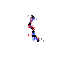 O=C(NC(=O)c1ccc2c(N=Nc3ccc(/C=C/C(=O)c4ccc(N=Nc5c(O)ccc6cc(CO/N=C/ONc7cccc(C(F)(F)F)c7)ccc56)cc4)cc3)c(O)ccc2c1)Nc1cccc(C(F)(F)F)c1